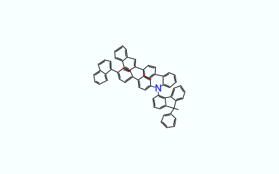 CC1(c2ccccc2)c2ccccc2-c2c(N(c3ccc(-c4ccc(-c5cccc6ccccc56)cc4)cc3)c3ccccc3-c3ccc(-c4ccc5ccccc5c4)cc3)cccc21